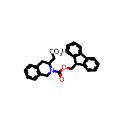 O=C(O)CC1Cc2ccccc2CN1C(=O)OCC1c2ccccc2-c2ccccc21